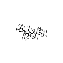 Cc1cc(NC(=O)c2c(C)c(C(=O)C(=O)NCC(C)(C)O)n(C)c2C)ccc1F